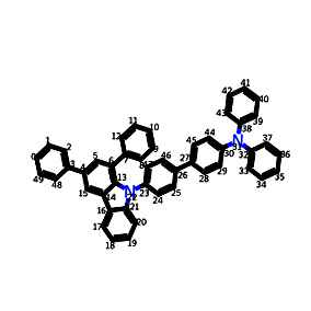 c1ccc(-c2cc(-c3ccccc3)c3c(c2)c2ccccc2n3-c2ccc(-c3ccc(N(c4ccccc4)c4ccccc4)cc3)cc2)cc1